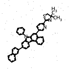 CC1(C)CSC(c2ccc(-c3cc4c(c5ccccc35)c3ccc(-c5ccc6ccccc6c5)cc3n4-c3ccccc3)cn2)=N1